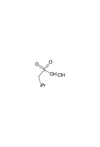 CC(C)CS(=O)(=O)O.Cl